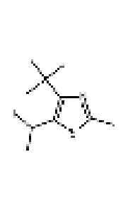 Cc1nc(C(C)(C)C)c(C(C)I)s1